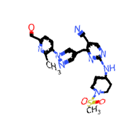 Cc1nc(C=O)ccc1-n1cc(-c2nc(NC3CCN(S(C)(=O)=O)CC3)ncc2C#N)cn1